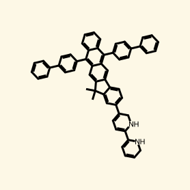 CC1(C)c2cc(C3=CC=C(C4=CC=CCN4)NC3)ccc2-c2cc3c(-c4ccc(-c5ccccc5)cc4)c4ccccc4c(-c4ccc(-c5ccccc5)cc4)c3cc21